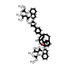 COC(=O)N[C@H](C(=O)N1C2CCCCC2C[C@H]1c1nc(C2=CC3=C(c4ccc(-c5c[nH]c([C@@H]6CC7CCCCC7N6C(=O)[C@@H](NC(=O)OC)C(C)C)n5)cc4)C[C@@H]2CC[C@@H]2C=CC(=CC2)CC3)c[nH]1)C(C)C